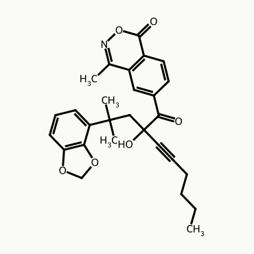 CCCCC#CC(O)(CC(C)(C)c1cccc2c1OCO2)C(=O)c1ccc2c(=O)onc(C)c2c1